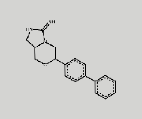 N=C1NCC2COC(c3ccc(-c4ccccc4)cc3)CN12